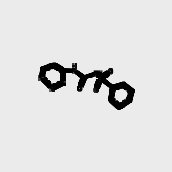 O=C(Nc1ccnnn1)NS(=O)(=O)c1ccccc1